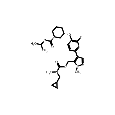 CC(C)OC(=O)[C@H]1CCC[C@H](Oc2ccc(-c3cnn(C)c3COC(=O)N(C)CC3CC3)nc2F)C1